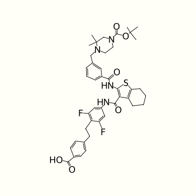 CC(C)(C)OC(=O)N1CCN(Cc2cccc(C(=O)Nc3sc4c(c3C(=O)Nc3cc(F)c(CCc5ccc(C(=O)O)cc5)c(F)c3)CCCC4)c2)C(C)(C)C1